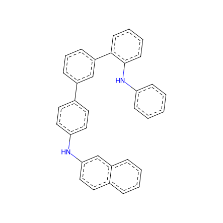 c1ccc(Nc2ccccc2-c2cccc(-c3ccc(Nc4ccc5ccccc5c4)cc3)c2)cc1